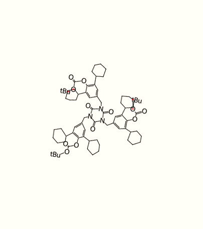 CC(C)(C)OC(=O)Oc1c(C2CCCCC2)cc(Cn2c(=O)n(Cc3cc(C4CCCCC4)c(OC(=O)OC(C)(C)C)c(C4CCCCC4)c3)c(=O)n(Cc3cc(C4CCCCC4)c(OC(=O)OC(C)(C)C)c(C4CCCCC4)c3)c2=O)cc1C1CCCCC1